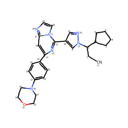 N#CCC(C1CCCC1)n1cc(-c2nc(-c3ccc(N4CCOCC4)cc3)cc3nccn23)cn1